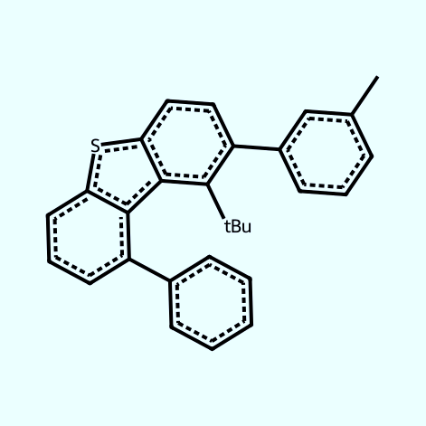 Cc1cccc(-c2ccc3sc4cccc(-c5ccccc5)c4c3c2C(C)(C)C)c1